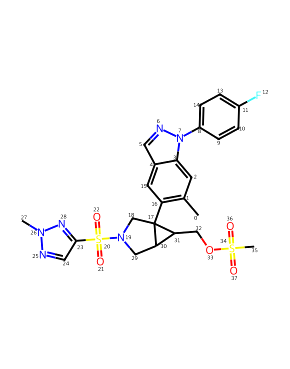 Cc1cc2c(cnn2-c2ccc(F)cc2)cc1C12CN(S(=O)(=O)c3cnn(C)n3)CC1C2COS(C)(=O)=O